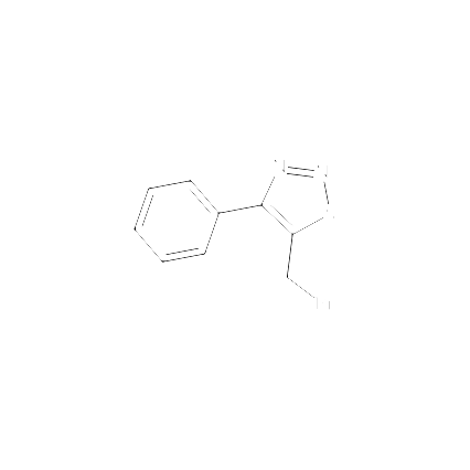 BrCc1snnc1-c1ccccc1